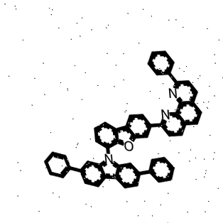 C1=CC(c2ccc3c4ccc(-c5ccccc5)cc4n(-c4cccc5c4oc4cc(-c6ccc7ccc8ccc(-c9ccccc9)nc8c7n6)ccc45)c3c2)=CCC1